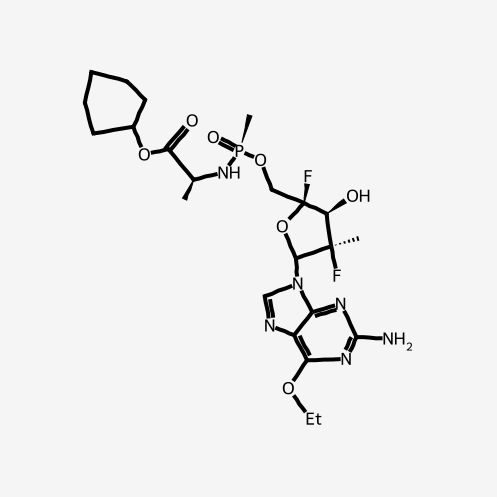 CCOc1nc(N)nc2c1ncn2C1O[C@](F)(CO[P@@](C)(=O)N[C@@H](C)C(=O)OC2CCCCC2)[C@@H](O)[C@@]1(C)F